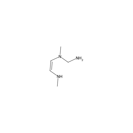 CN/C=C\N(C)CN